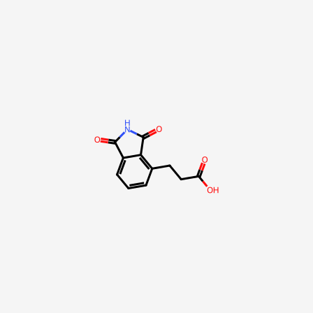 O=C(O)CCc1cccc2c1C(=O)NC2=O